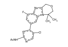 CC(=O)Nc1cc(-c2cc(F)c3nc4n(c3c2)C(C)(C)COC4)c(Cl)cn1